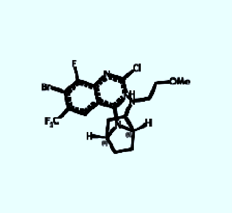 COCCNC1C[C@H]2CC[C@@H]1N2c1nc(Cl)nc2c(F)c(Br)c(C(F)(F)F)cc12